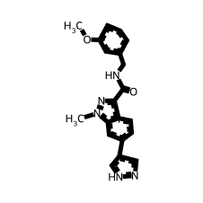 COc1cccc(CNC(=O)c2nn(C)c3cc(-c4cn[nH]c4)ccc23)c1